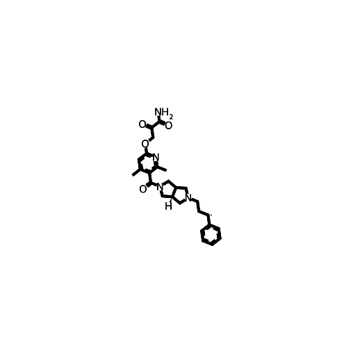 Cc1cc(OCC(=O)C(N)=O)nc(C)c1C(=O)N1CC2CN(CC[CH]c3ccccc3)C[C@H]2C1